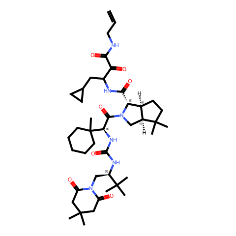 C=CCNC(=O)C(=O)C(CC1CC1)NC(=O)[C@@H]1[C@H]2CCC(C)(C)[C@H]2CN1C(=O)[C@@H](NC(=O)N[C@H](CN1C(=O)CC(C)(C)CC1=O)C(C)(C)C)C1(C)CCCCC1